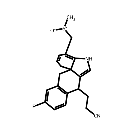 C[S+]([O-])CC1=C2NC=C3C(CCC#N)c4ccc(F)cc4CC32CC=C1